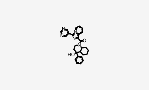 O=C(c1nc(-c2cncnc2)n2ccccc12)N1CCC(O)(c2ccccc2)C2CCCCC21